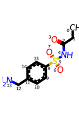 CCC(=O)NS(=O)(=O)c1ccc(CN)cc1